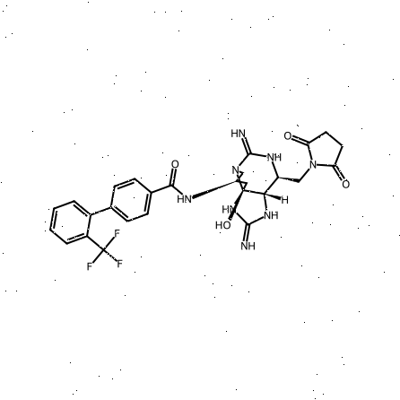 N=C1N[C@H]2[C@H](CN3C(=O)CCC3=O)NC(=N)N3C[C@H](NC(=O)c4ccc(-c5ccccc5C(F)(F)F)cc4)[C@@H](O)[C@]23N1